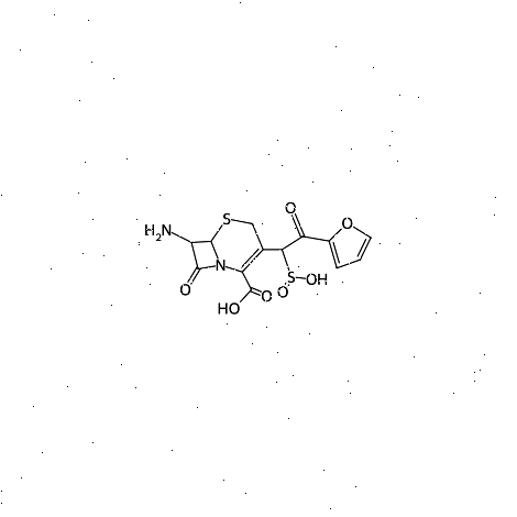 NC1C(=O)N2C(C(=O)O)=C(C(C(=O)c3ccco3)S(=O)O)CSC12